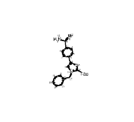 CC(C)(C)c1nc(-c2ccc(C(=N)N)cc2)cn1Cc1ccccc1